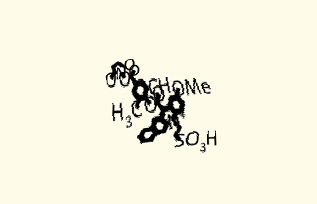 COc1ccc2c(c1)c(C(=O)Oc1c(C)cc(C(=O)ON3C(=O)CCC3=O)cc1C)c1cc3ccccc3cc1[n+]2CCS(=O)(=O)O